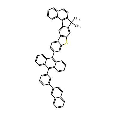 CC1(C)c2cc3sc4cc(-c5c6ccccc6c(-c6cccc(-c7ccc8ccccc8c7)c6)c6ccccc56)ccc4c3cc2-c2c1ccc1ccccc21